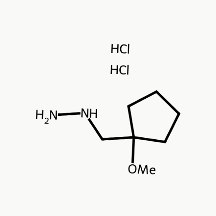 COC1(CNN)CCCC1.Cl.Cl